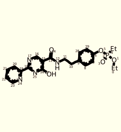 CCOP(=O)(CC)Oc1ccc(CCNC(=O)c2cnc(-c3ccccn3)nc2O)cc1